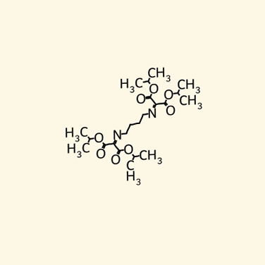 CC(C)OC(=O)C(=NCCCCN=C(C(=O)OC(C)C)C(=O)OC(C)C)C(=O)OC(C)C